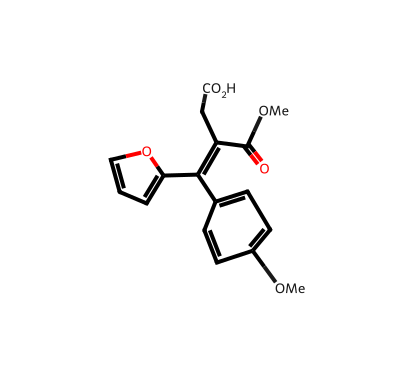 COC(=O)C(CC(=O)O)=C(c1ccc(OC)cc1)c1ccco1